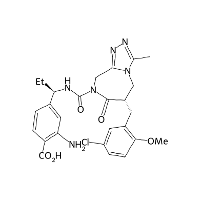 CC[C@@H](NC(=O)N1Cc2nnc(C)n2C[C@H](Cc2cc(Cl)ccc2OC)C1=O)c1ccc(C(=O)O)c(N)c1